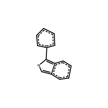 C1=c2ccccc2=C(c2ccccc2)[N]1